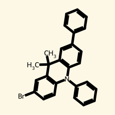 CC1(C)c2cc(Br)ccc2N(c2ccccc2)c2ccc(-c3ccccc3)cc21